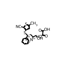 Cc1cc(S[C@H](C[C@H](N)CO)c2ccccc2)c(C#N)s1.O=C(O)C(=O)O